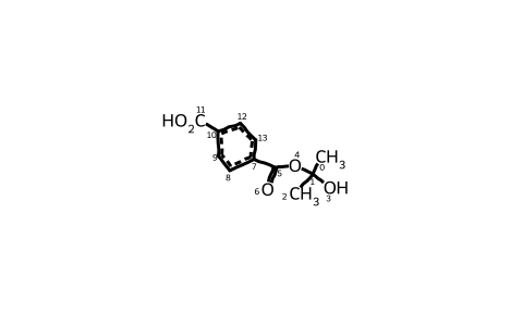 CC(C)(O)OC(=O)c1ccc(C(=O)O)cc1